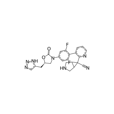 N#CC1(c2ncccc2-c2c(F)cc(N3C[C@@H](Cc4cnn[nH]4)OC3=O)cc2F)C2CNCC21